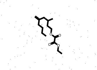 C=C(CCCC)CC(C)CCOC(=O)C(=O)OCC